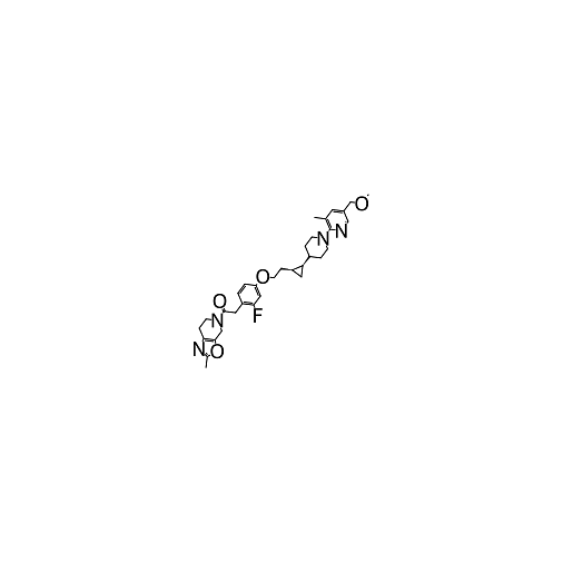 COCc1cnc(N2CCC([C@H]3C[C@H]3CCOc3ccc(CC(=O)N4CCc5nc(C)oc5C4)c(F)c3)CC2)c(C)c1